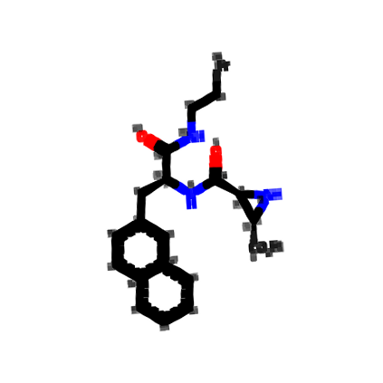 CCOC(=O)[C@H]1N[C@@H]1C(=O)N[C@@H](Cc1ccc2ccccc2c1)C(=O)NCCC(C)C